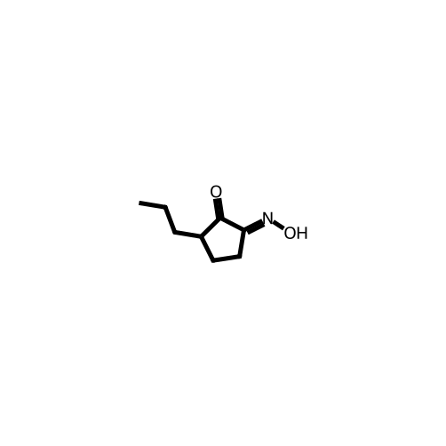 CCCC1CCC(=NO)C1=O